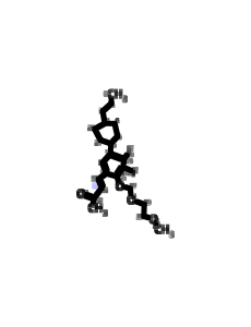 CCCC1CCC(c2cc(/C=C/C(C)=O)c(OCOCCOC)c(F)c2F)CC1